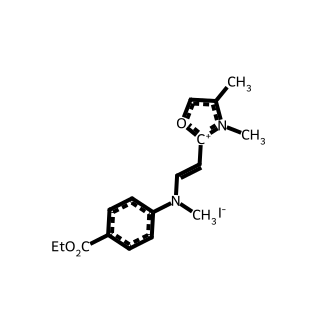 CCOC(=O)c1ccc(N(C)C=C[c+]2occ(C)n2C)cc1.[I-]